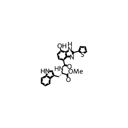 COC(=O)[C@H](Cc1c[nH]c2ccccc12)NC(=O)c1ccc(O)c2[nH]c(-c3cccs3)nc12